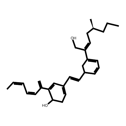 C=C(/C=C\C=C/C)C1=CC(/C=C/C2C=CC=C(/C(=C/C[C@@H](C)CCC)CO)C2)=CCC1O